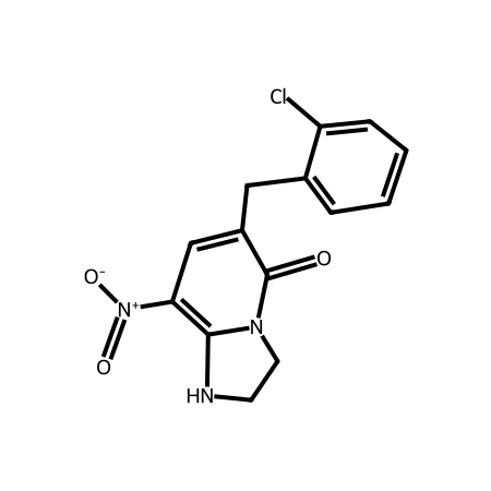 O=c1c(Cc2ccccc2Cl)cc([N+](=O)[O-])c2n1CCN2